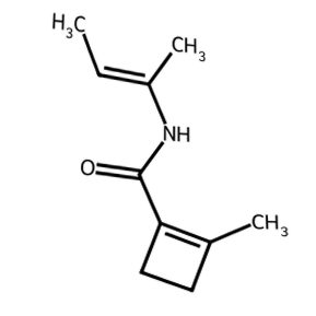 CC=C(C)NC(=O)C1=C(C)CC1